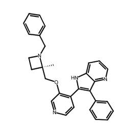 C[C@]1(COc2cnccc2-c2[nH]c3cccnc3c2-c2ccccc2)CCN1Cc1ccccc1